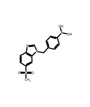 CS(=O)(=O)c1ccc2ncn(Cc3ccc(B(O)O)cc3)c2c1